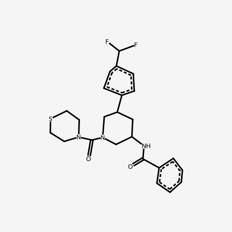 O=C(NC1CC(c2ccc(C(F)F)cc2)CN(C(=O)N2CCSCC2)C1)c1ccccc1